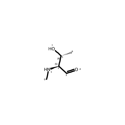 CN[C@H]([C]=O)[C@@H](C)O